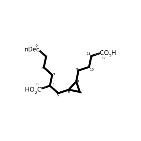 CCCCCCCCCCCCCC(CC1CC1CCCC(=O)O)C(=O)O